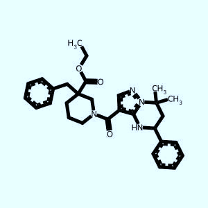 CCOC(=O)C1(Cc2ccccc2)CCCN(C(=O)c2cnn3c2NC(c2ccccc2)CC3(C)C)C1